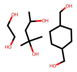 CC(O)CC(C)(C)O.OCC1CCC(CO)CC1.OCCO